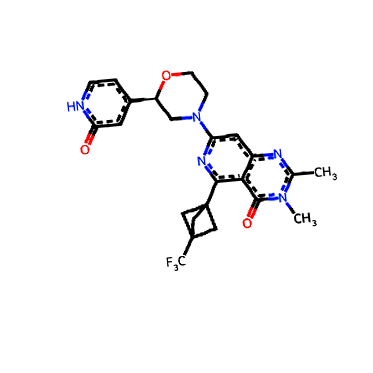 Cc1nc2cc(N3CCO[C@H](c4cc[nH]c(=O)c4)C3)nc(C34CC(C(F)(F)F)(C3)C4)c2c(=O)n1C